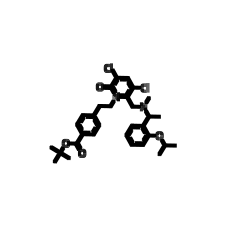 CC(C)Oc1ccccc1C(C)N(C)Cc1c(Cl)cc(Cl)c(=O)n1CCc1ccc(C(=O)OC(C)(C)C)cc1